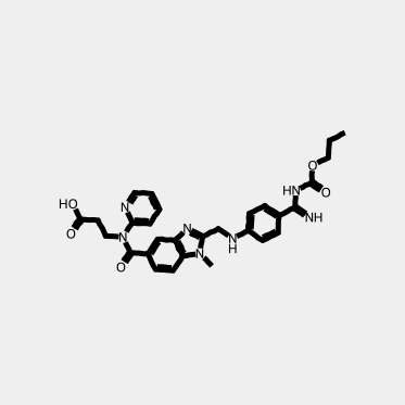 CCCOC(=O)NC(=N)c1ccc(NCc2nc3cc(C(=O)N(CCC(=O)O)c4ccccn4)ccc3n2C)cc1